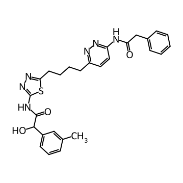 Cc1cccc(C(O)C(=O)Nc2nnc(CCCCc3ccc(NC(=O)Cc4ccccc4)nn3)s2)c1